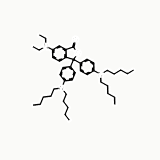 CCCCCN(CCCCC)c1ccc(C2(c3ccc(N(CCCCC)CCCCC)cc3)OC(=O)c3cc(N(CC)CC)ccc32)cc1